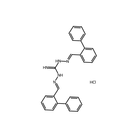 Cl.N=C(NN=Cc1ccccc1-c1ccccc1)NN=Cc1ccccc1-c1ccccc1